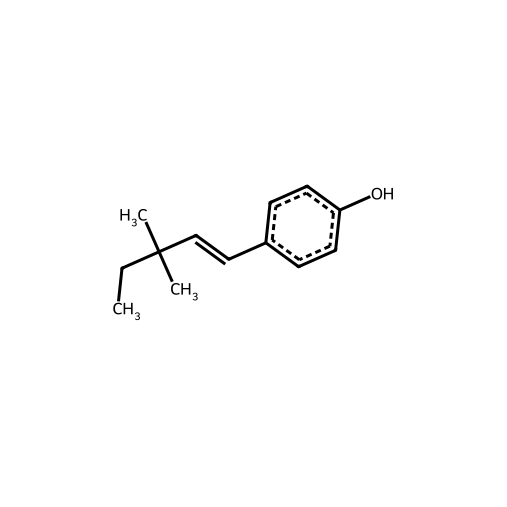 CCC(C)(C)C=Cc1ccc(O)cc1